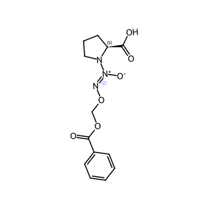 O=C(OCO/N=[N+](\[O-])N1CCC[C@H]1C(=O)O)c1ccccc1